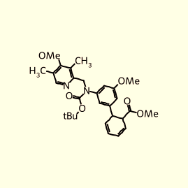 COC(=O)C1C=CC=CC1c1cc(OC)cc(N(Cc2ncc(C)c(OC)c2C)C(=O)OC(C)(C)C)c1